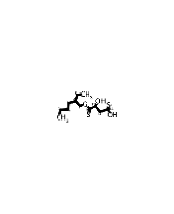 CCCCC(CC)COC(=S)C(O)CC(O)=S